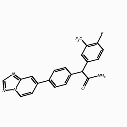 NC(=O)C(c1ccc(-c2ccn3ncnc3c2)cc1)c1ccc(F)c(C(F)(F)F)c1